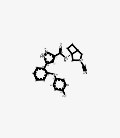 N#CN1CC2CC[C@]2(NC(=O)c2cc(-c3ccccc3Sc3ccc(F)cc3)[nH]n2)C1